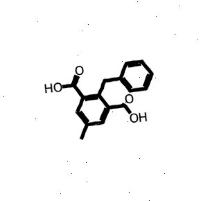 Cc1cc(C(=O)O)c(Cc2ccccc2)c(C(=O)O)c1